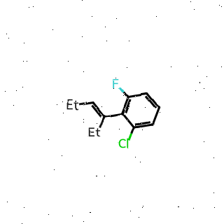 CC/C=C(\CC)c1c(F)cccc1Cl